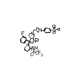 O=C(N[C@H]1CCC[C@@H]1[C@](CN1CCC1)(c1cccc(F)c1)C1CCN(CC2CN(c3ccc(S(=O)(=O)C4CC4)cc3)C2)CC1)C(F)(F)F